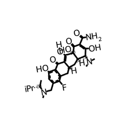 CC(C)[C@H](C)N(C)Cc1cc(O)c2c(c1F)C[C@H]1C[C@H]3[C@H](N(C)C)C(O)=C(C(N)=O)C(=O)[C@@]3(O)C(O)=C1C2=O